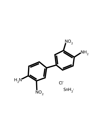 Nc1ccc(-c2ccc(N)c([N+](=O)[O-])c2)cc1[N+](=O)[O-].[Cl-].[SnH2]